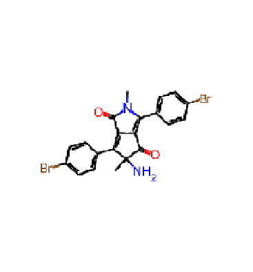 CN1C(=O)C2=C(c3ccc(Br)cc3)C(C)(N)C(=O)C2=C1c1ccc(Br)cc1